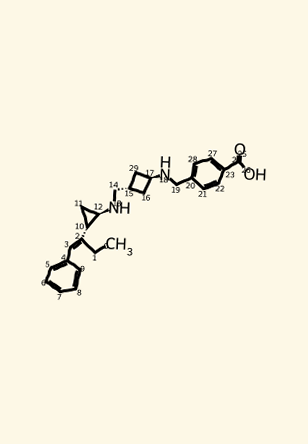 CC/C(=C\c1ccccc1)[C@@H]1C[C@H]1NC[C@H]1C[C@H](NCc2ccc(C(=O)O)cc2)C1